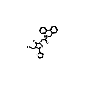 CC(C)Cn1c(-c2cccs2)nn(CC(=O)NCc2ccccc2-c2ccccc2)c1=O